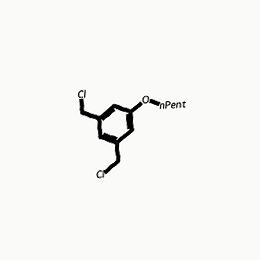 CCCCCOc1cc(CCl)cc(CCl)c1